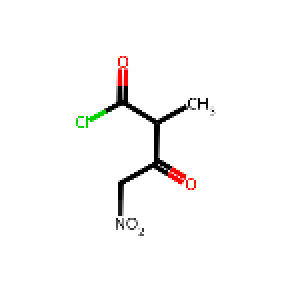 CC(C(=O)Cl)C(=O)C[N+](=O)[O-]